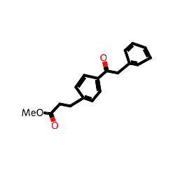 COC(=O)CCc1ccc(C(=O)Cc2ccccc2)cc1